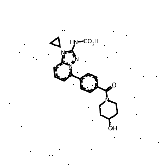 C1CC1.O=C(O)Nc1nc2cccc(-c3ccc(C(=O)N4CCC(O)CC4)cc3)n2n1